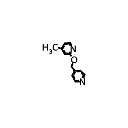 Cc1ccnc(OCc2ccncc2)c1